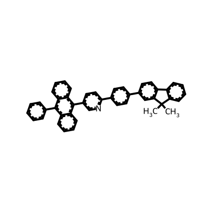 CC1(C)c2ccccc2-c2ccc(-c3ccc(-c4ccc(-c5c6ccccc6c(-c6ccccc6)c6ccccc56)cn4)cc3)cc21